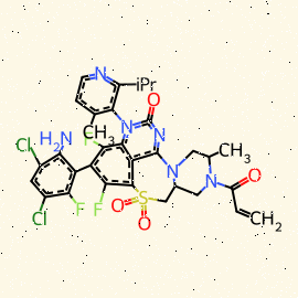 C=CC(=O)N1CC2CS(=O)(=O)c3c(F)c(-c4c(N)c(Cl)cc(Cl)c4F)c(F)c4c3c(nc(=O)n4-c3c(C)ccnc3C(C)C)N2CC1C